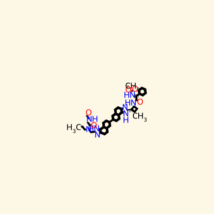 CCCN(Cc1nc2ccc3cc(-c4ccc5c(ccc6nc([C@@H]7C(C)CC7NC(=O)[C@H](NC(=O)OC)c7ccccc7)[nH]c65)c4)ccc3c2[nH]1)C(=O)CNC=O